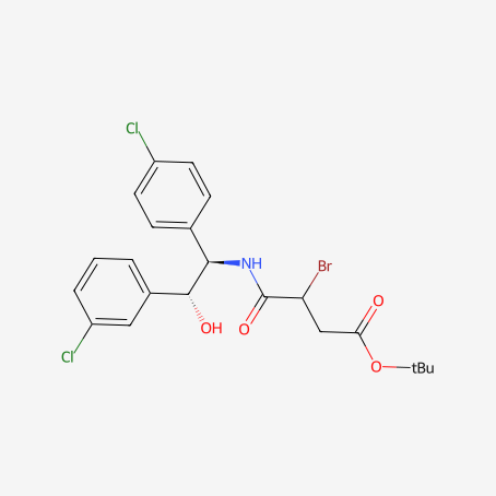 CC(C)(C)OC(=O)CC(Br)C(=O)N[C@H](c1ccc(Cl)cc1)[C@H](O)c1cccc(Cl)c1